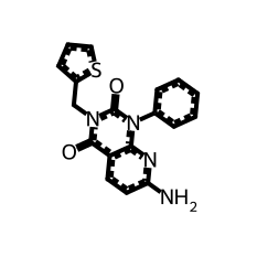 Nc1ccc2c(=O)n(Cc3cccs3)c(=O)n(-c3ccccc3)c2n1